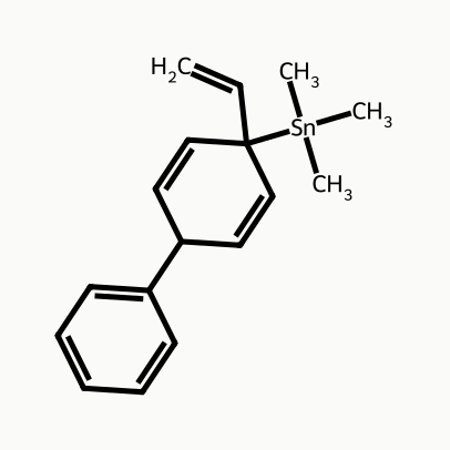 C=C[C]1([Sn]([CH3])([CH3])[CH3])C=CC(c2ccccc2)C=C1